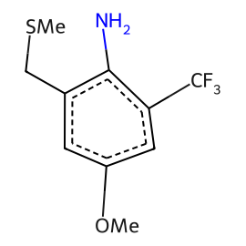 COc1cc(CSC)c(N)c(C(F)(F)F)c1